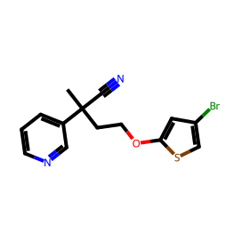 CC(C#N)(CCOc1cc(Br)cs1)c1cccnc1